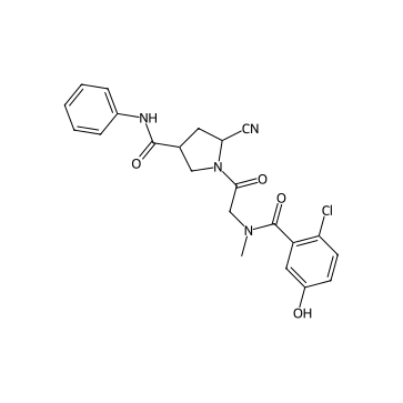 CN(CC(=O)N1CC(C(=O)Nc2ccccc2)CC1C#N)C(=O)c1cc(O)ccc1Cl